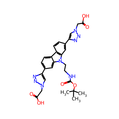 CC(C)(C)OC(=O)NCCn1c2cc(-c3cn(CC(=O)O)nn3)ccc2c2ccc(-c3cn(CC(=O)O)nn3)cc21